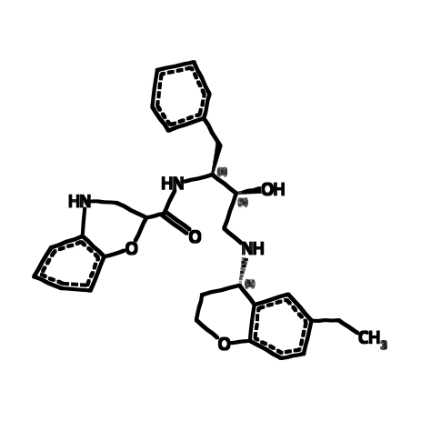 CCc1ccc2c(c1)[C@@H](NC[C@H](O)[C@H](Cc1ccccc1)NC(=O)C1CNc3ccccc3O1)CCO2